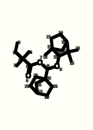 CCC(C)(C)C(=O)OC(OC1C2(C)CCC(C2)C1(C)C)C12CCC(CC1)C2